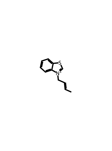 CC=CC[n+]1csc2ccccc21